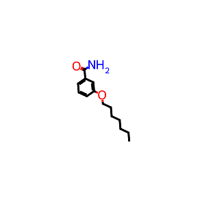 CCCCCCCOc1cccc(C(N)=O)c1